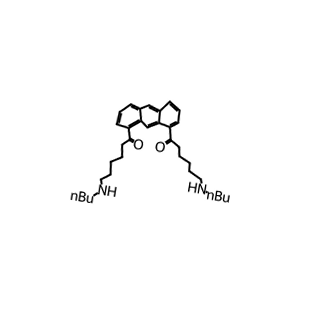 CCCCNCCCCCC(=O)c1cccc2cc3cccc(C(=O)CCCCCNCCCC)c3cc12